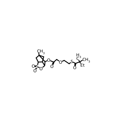 CCC(C)(C)C(=O)SCCOCC(=O)OC1C2OS(=O)(=O)C3CC1(C)CC23